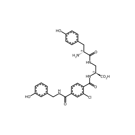 N[C@H](Cc1ccc(O)cc1)C(=O)NC[C@H](NC(=O)c1ccc(C(=O)NCc2cccc(O)c2)cc1Cl)C(=O)O